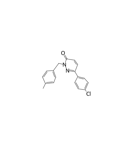 Cc1ccc(Cn2nc(-c3ccc(Cl)cc3)ccc2=O)cc1